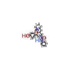 O=C1/C(=C\c2ccccn2)CN(C(=O)Nc2ccccc2)CC1c1ccc(O)cc1